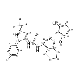 Cc1ccc(-n2nc(C(C)(C)C)cc2NC(=O)Nc2ccc(Oc3ccnc(Cl)n3)c3c2CCCC3)cc1